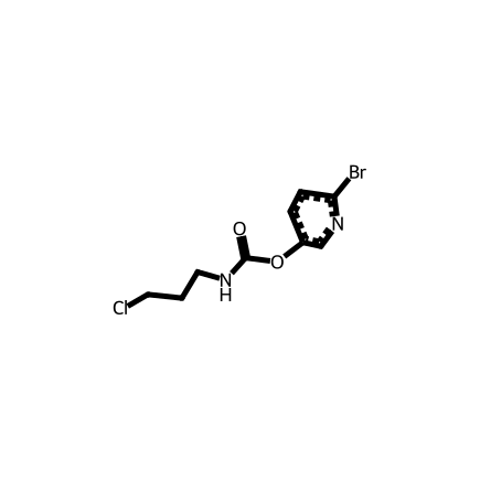 O=C(NCCCCl)Oc1ccc(Br)nc1